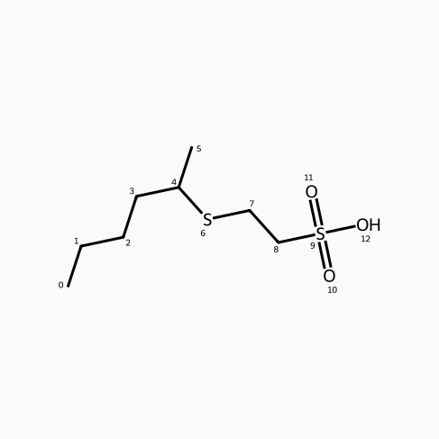 CCCCC(C)SCCS(=O)(=O)O